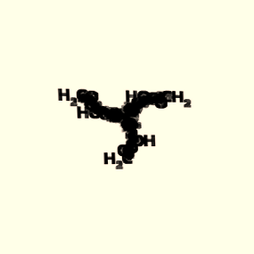 C=CC(=O)OCC(O)CCc1ccc(C(c2ccc(OCC(O)COC(=O)C=C)cc2)c2ccc(OCC(O)COC(=O)C=C)cc2)cc1